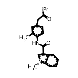 Cc1cc(CC(=O)C(C)C)ccc1NC(=O)c1cn(C)c2ccccc12